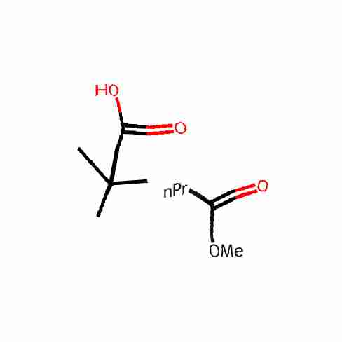 CC(C)(C)C(=O)O.CCCC(=O)OC